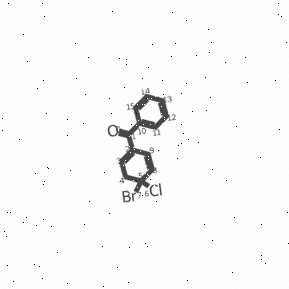 O=C(C1=CCC(Cl)(Br)C=C1)c1ccccc1